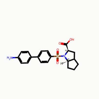 Nc1ccc(-c2ccc(S(=O)(=O)N3[C@@H](C(=O)O)CC4CCC[C@H]43)cc2)cc1